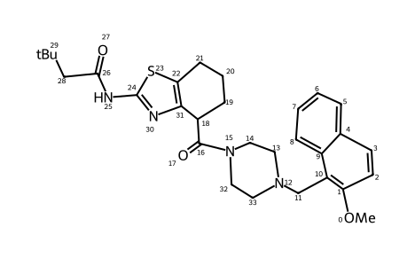 COc1ccc2ccccc2c1CN1CCN(C(=O)C2CCCc3sc(NC(=O)CC(C)(C)C)nc32)CC1